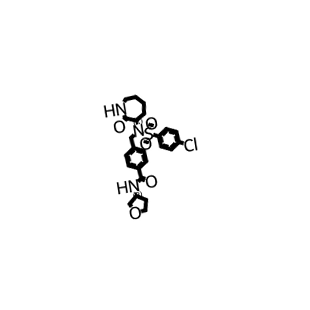 O=C(N[C@@H]1CCOC1)c1ccc(CN([C@@H]2CCCCNC2=O)S(=O)(=O)c2ccc(Cl)cc2)cc1